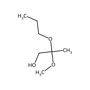 CCCOC(C)(CO)OC